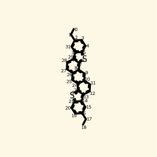 CCc1ccc2sc3c4cc5ccc6c7cc(CC)ccc7sc6c5cc4ccc3c2c1